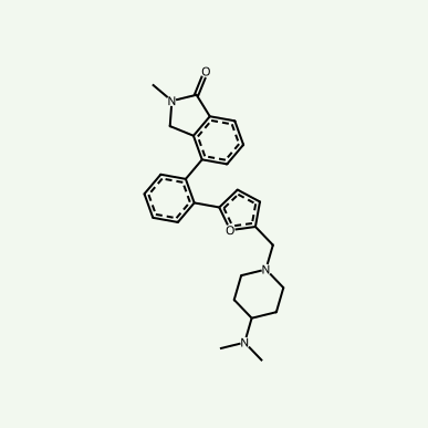 CN1Cc2c(cccc2-c2ccccc2-c2ccc(CN3CCC(N(C)C)CC3)o2)C1=O